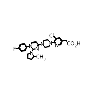 CC1CCCN1C1N=C(N2CCN(c3ncc(CC(=O)O)cc3Cl)CC2)C=CN1c1ccc(F)cc1